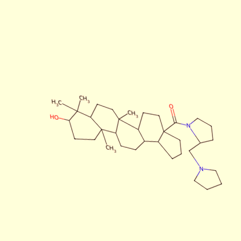 CC1(C)C(O)CCC2(C)C1CCC1(C)C3CCC4(C(=O)N5CCCC5CN5CCCC5)CCCC4C3CCC12